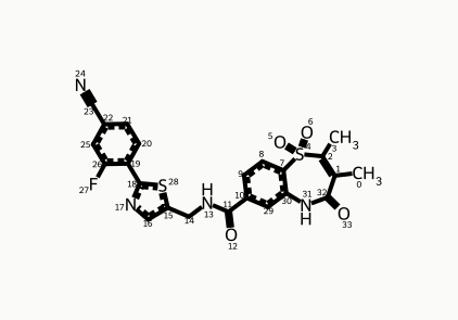 CC1=C(C)S(=O)(=O)c2ccc(C(=O)NCc3cnc(-c4ccc(C#N)cc4F)s3)cc2NC1=O